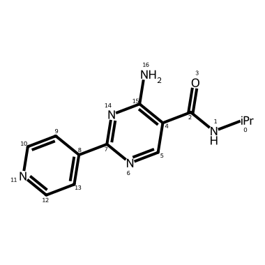 CC(C)NC(=O)c1cnc(-c2ccncc2)nc1N